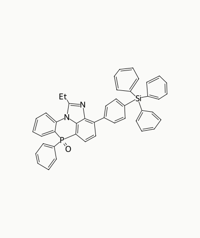 CCc1nc2c(-c3ccc([Si](c4ccccc4)(c4ccccc4)c4ccccc4)cc3)ccc3c2n1-c1ccccc1P3(=O)c1ccccc1